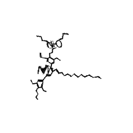 CCCCCCCCCCCCC=CC1=C(c2cc(CC)c(CCCC)c(CC)c2)[N+](=[N-])C(c2cc(CC)c(CCCC)c(CC)c2)=C1.CCCC[O][Ni][O]CCCC